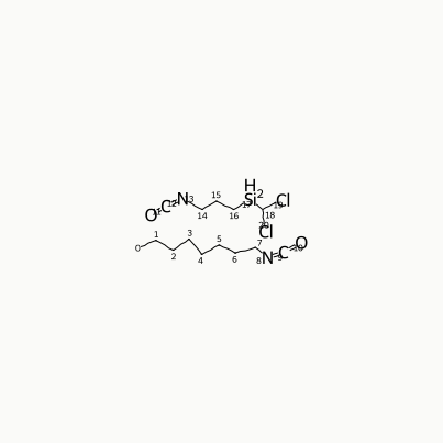 CCCCCCCCN=C=O.O=C=NCCC[SiH2]C(Cl)Cl